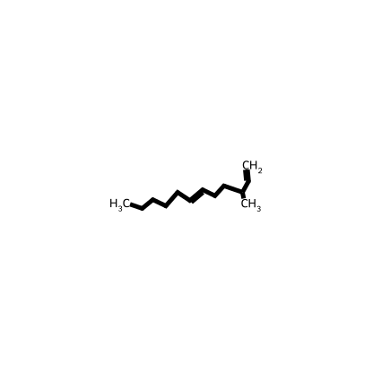 C=CC(C)CCC=CCCCCC